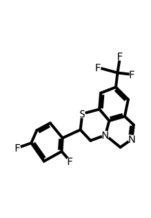 Fc1ccc(C2CN3CN=Cc4cc(C(F)(F)F)cc(c43)S2)c(F)c1